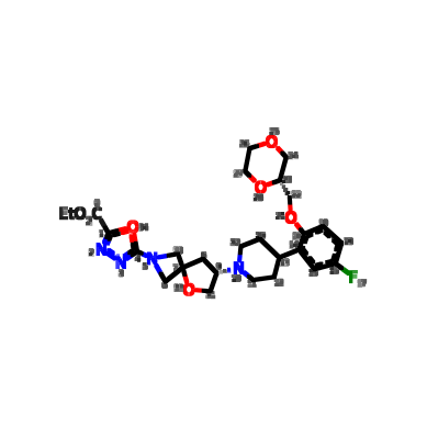 CCOC(=O)c1nnc(N2CC3(C[C@H](N4CCC(c5cc(F)ccc5OC[C@H]5COCCO5)CC4)CO3)C2)o1